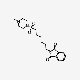 CN1CCN(S(=O)(=O)CCCCCCN2C(=O)c3ccccc3C2=O)CC1